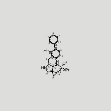 CC(C)S(=O)(=O)N[C@@H]1[C@H](Cc2cccc(-c3ccccc3)c2F)NCC12CC2